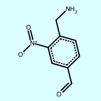 NCc1ccc([C]=O)cc1[N+](=O)[O-]